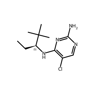 CC[C@H](Nc1nc(N)ncc1Cl)C(C)(C)C